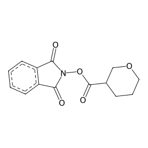 O=C(ON1C(=O)c2ccccc2C1=O)C1CCCOC1